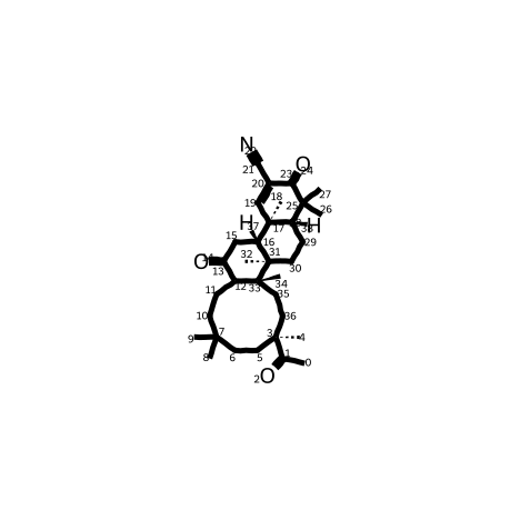 CC(=O)[C@@]1(C)CCC(C)(C)CCC2C(=O)C[C@@H]3[C@@]4(C)C=C(C#N)C(=O)C(C)(C)[C@@H]4CC[C@@]3(C)[C@]2(C)CC1